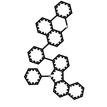 c1ccc(-n2c3ccc4ccccc4c3c3cccc(-c4ccccc4-c4ccc5c6c(cccc46)-c4ccccc4S5)c32)cc1